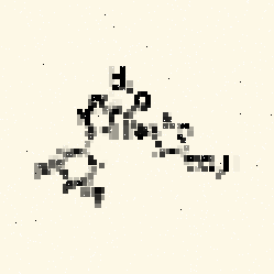 C[C@]1(C(=O)NC2COC(C(=O)O)C2)CC(c2cc(F)cc(F)c2)=NO1